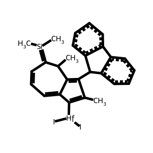 CC1=[C]([Hf]([I])[I])C2=CC=CC(=[Si](C)C)C(C)C2=C1C1c2ccccc2-c2ccccc21